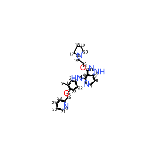 Cc1cc(Nc2nccc3[nH]nc(OCCN4CCCC4)c23)ccc1OCc1ccccn1